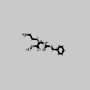 CC(C)(C)OC(=O)[C@@H](CCCN)NC(=O)OCc1ccccc1